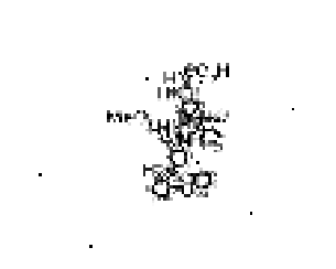 COCCCCN1c2cc(C3(O)c4ccccc4C(=O)N3Cc3ccccc3)ccc2NC1NC(=O)OC1(c2ccc3[nH]c(NC(=O)O)nc3c2)NC(=O)c2ccccc21